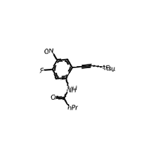 CCCC(=O)Nc1cc(F)c(N=O)cc1C#CC(C)(C)C